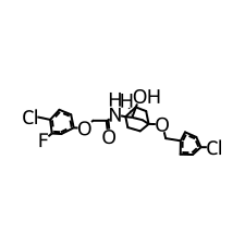 O=C(COc1ccc(Cl)c(F)c1)NC12CCC(OCc3ccc(Cl)cc3)(CC1)C[C@@H]2O